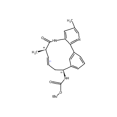 Cc1cnc2c(c1)NC(=O)[C@H](C)/C=C/C[C@H](NC(=O)OC(C)(C)C)c1cccc-2c1